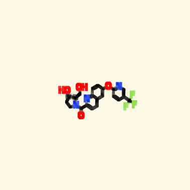 O=C(c1ccc2cc(Oc3ccc(C(F)(F)F)cn3)ccc2n1)N1CC[C@H](O)[C@H]1CO